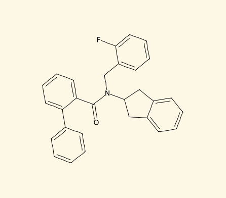 O=C(c1ccccc1-c1ccccc1)N(Cc1ccccc1F)C1Cc2ccccc2C1